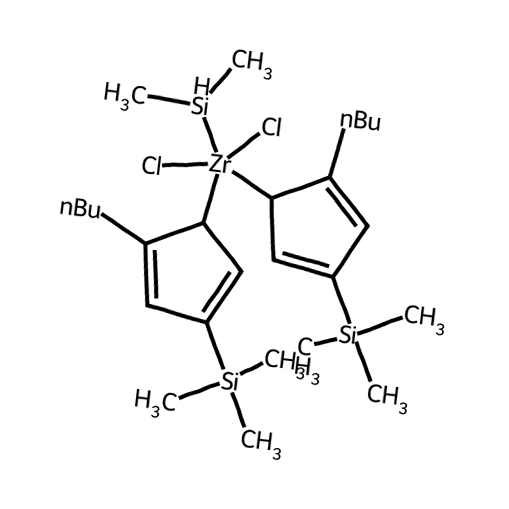 CCCCC1=CC([Si](C)(C)C)=C[CH]1[Zr]([Cl])([Cl])([CH]1C=C([Si](C)(C)C)C=C1CCCC)[SiH](C)C